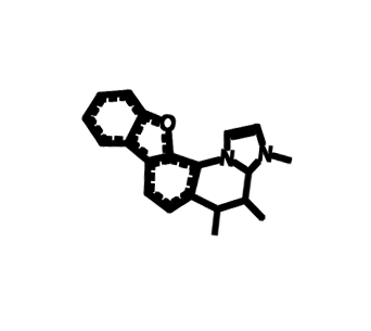 CC1c2ccc3c(oc4ccccc43)c2N2C=CN(C)C2C1C